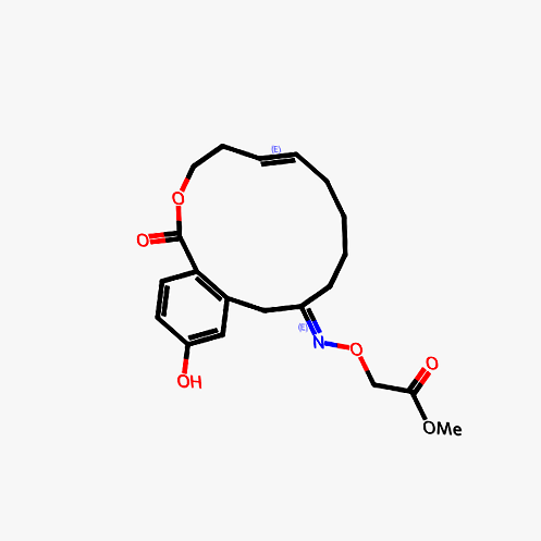 COC(=O)CO/N=C1\CCCC/C=C/CCOC(=O)c2ccc(O)cc2C1